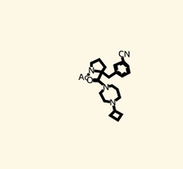 CC(=O)N1CCCC1(Cc1cccc(C#N)c1)C(=O)N1CCCN(C2CCC2)CC1